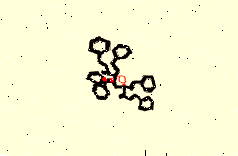 C=C(/C=C/c1ccccc1)C(/C=C/c1ccccc1)(/C=C/c1ccccc1)OC(/C=C/c1ccccc1)(/C=C/c1ccccc1)C(=C)/C=C/c1ccccc1